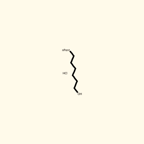 CCCCCCCCCCCO.Cl